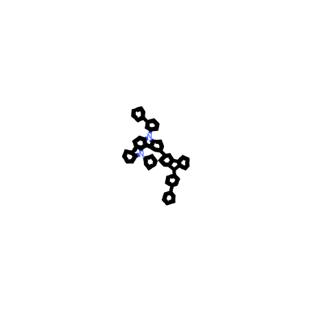 c1ccc(-c2ccc(C3c4ccccc4-c4cc(-c5ccc6c(c5)c5c(ccc7c8ccccc8n(-c8ccccc8)c75)n6-c5cccc(-c6ccccc6)c5)ccc43)cc2)cc1